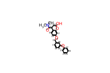 CN(C)C(=O)C(CC(=O)O)c1ccc(OCc2cccc(Oc3ccccc3)c2)cc1